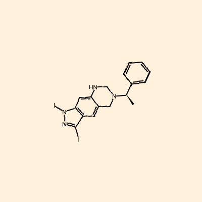 C[C@H](c1ccccc1)N1CNc2cc3c(cc2C1)c(I)nn3I